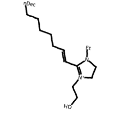 CCCCCCCCCCCCCCCC=CC1=[N+](CCO)CCN1CC